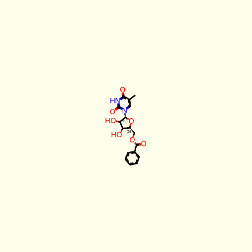 Cc1cn([C@H]2O[C@@H](COC(=O)c3ccccc3)C(O)C2O)c(=O)[nH]c1=O